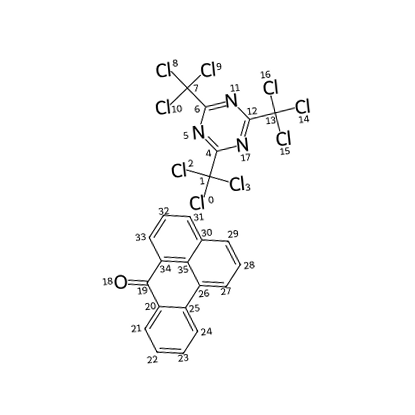 ClC(Cl)(Cl)c1nc(C(Cl)(Cl)Cl)nc(C(Cl)(Cl)Cl)n1.O=C1c2ccccc2-c2cccc3cccc1c23